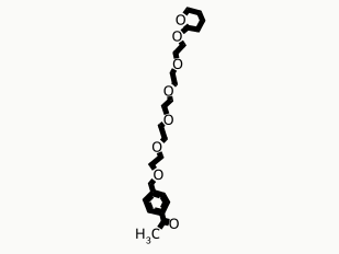 CC(=O)c1ccc(COCCOCCOCCOCCOCCOC2CCCCO2)cc1